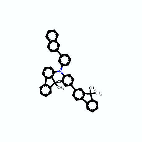 CC1(C)c2ccccc2-c2ccc(-c3ccc(N(c4cccc(-c5ccc6ccccc6c5)c4)c4cccc5c4C(C)(C)c4ccccc4-5)cc3)cc21